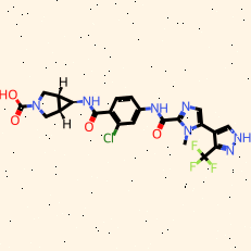 Cn1c(-c2c[nH]nc2C(F)(F)F)cnc1C(=O)Nc1ccc(C(=O)N[C@H]2[C@@H]3CN(C(=O)O)C[C@@H]32)c(Cl)c1